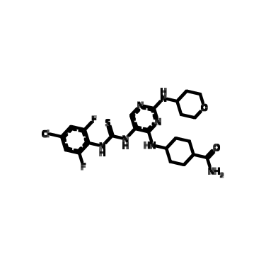 NC(=O)C1CCC(Nc2nc(NC3CCOCC3)ncc2NC(=S)Nc2c(F)cc(Cl)cc2F)CC1